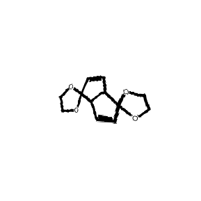 C1=CC2(OCCO2)C2C=CC3(OCCO3)C12